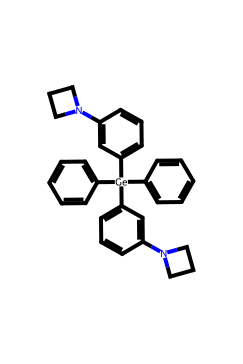 c1cc[c]([Ge]([c]2ccccc2)([c]2cccc(N3CCC3)c2)[c]2cccc(N3CCC3)c2)cc1